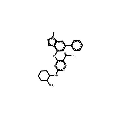 Cn1ccc2c(Nc3nc(N[C@@H]4CCCC[C@@H]4N)nnc3C(N)=O)cc(-c3ccccc3)cc21